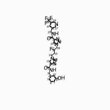 O=C(NCc1cccc(O)c1)c1cn(CCC(F)Cn2cc(C(=O)NCc3cncc(C(F)(F)F)c3)nn2)nn1